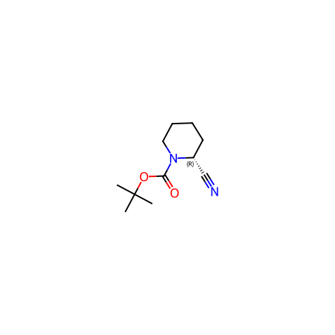 CC(C)(C)OC(=O)N1CCCC[C@@H]1C#N